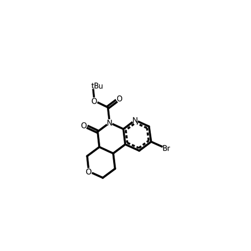 CC(C)(C)OC(=O)N1C(=O)C2COCCC2c2cc(Br)cnc21